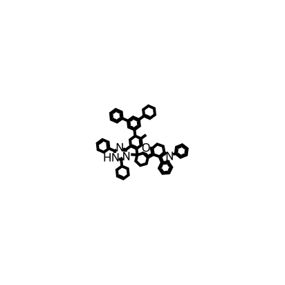 CC1=CC(C2(C)CCCc3c2oc2c3-c3c(n(-c4ccccc4)c4ccccc34)CC2)=C(C2=NC(C3=CC=CCC3)NC(C3CC=CCC3)=N2)CC1c1cc(C2=CCCCC2)cc(-c2ccccc2)c1